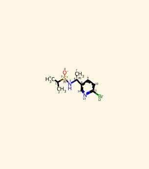 CC(C)[S@+]([O-])N[C@H](C)c1ccc(Br)nc1